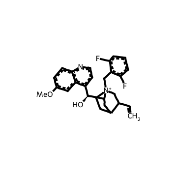 C=CC1C[N+]2(Cc3c(F)cccc3F)CCC1CC2[C@@H](O)c1ccnc2ccc(OC)cc12